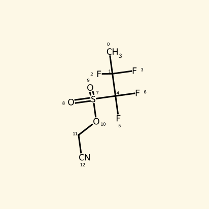 CC(F)(F)C(F)(F)S(=O)(=O)OCC#N